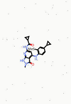 CSc1cc(C2CC2)ccc1Nc1cc(NC(=O)C2CC2)nc2[nH]n(C)c(=O)c12